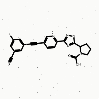 N#Cc1cc(F)cc(C#Cc2ccc(-c3noc(C4CCCN4C(=O)O)n3)nc2)c1